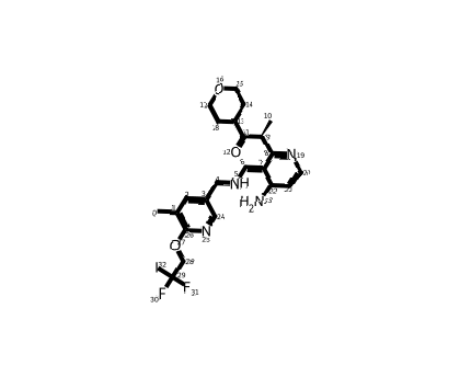 Cc1cc(CN/C=C2/C([C@H](C)C(=O)C3CCOCC3)=NC=CC2N)cnc1OCC(F)(F)I